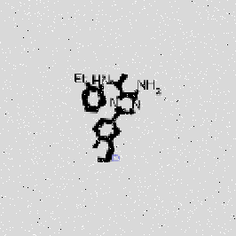 C=C(Nc1ccccc1CC)c1nc(-c2ccc(C)c(/C=C\C)c2)cnc1N